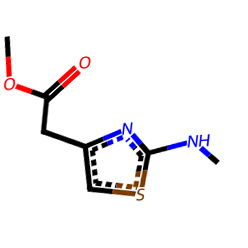 CNc1nc(CC(=O)OC)cs1